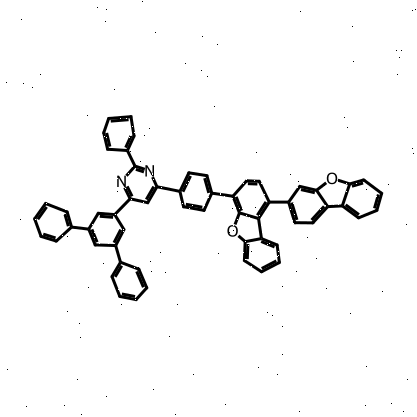 c1ccc(-c2cc(-c3ccccc3)cc(-c3cc(-c4ccc(-c5ccc(-c6ccc7c(c6)oc6ccccc67)c6c5oc5ccccc56)cc4)nc(-c4ccccc4)n3)c2)cc1